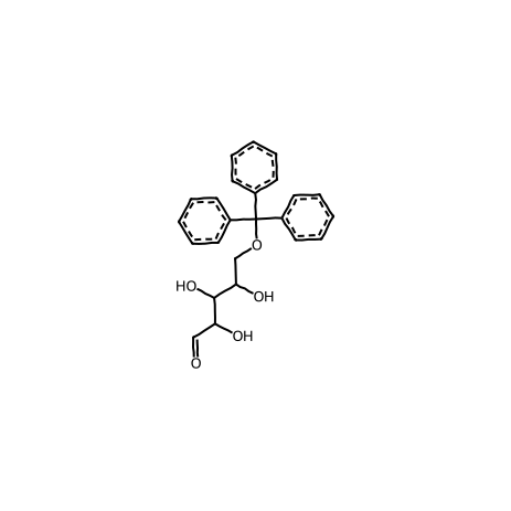 O=CC(O)C(O)C(O)COC(c1ccccc1)(c1ccccc1)c1ccccc1